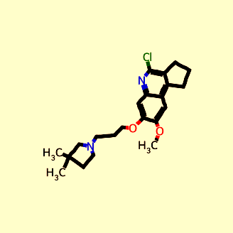 COc1cc2c3c(c(Cl)nc2cc1OCCCN1CCC(C)(C)C1)CCC3